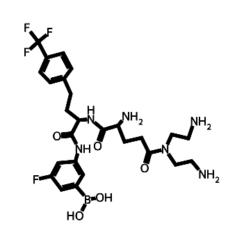 NCCN(CCN)C(=O)CCC(N)C(=O)NC(CCc1ccc(C(F)(F)F)cc1)C(=O)Nc1cc(F)cc(B(O)O)c1